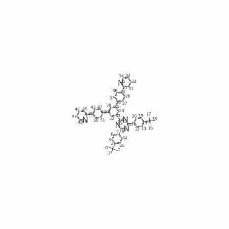 CC(C)(C)c1ccc(-c2nc(-c3ccc(C(C)(C)C)cc3)nc(-c3cc(-c4ccc(-c5ccccn5)cc4)cc(-c4ccc(-c5ccccn5)cc4)c3)n2)cc1